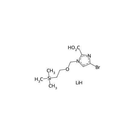 C[Si](C)(C)CCOCn1cc(Br)nc1C(=O)O.[LiH]